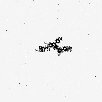 CC(C)(C)c1ccc(C(Cc2ccc(C(=O)NCCS(=O)(=O)O)cc2)c2cc(-c3cc(Cl)cc(-c4ccc(OC(F)(F)F)cc4)c3)on2)cc1